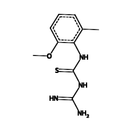 COc1cccc(C)c1NC(=S)NC(=N)N